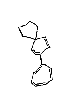 [C]1=CC2(C=C1c1ccccc1)CCCC2